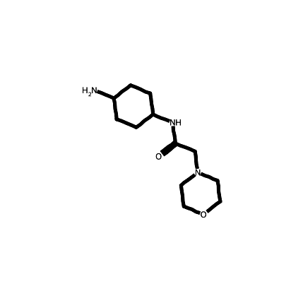 NC1CCC(NC(=O)CN2CCOCC2)CC1